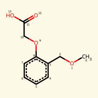 COCc1ccccc1OCC(=O)O